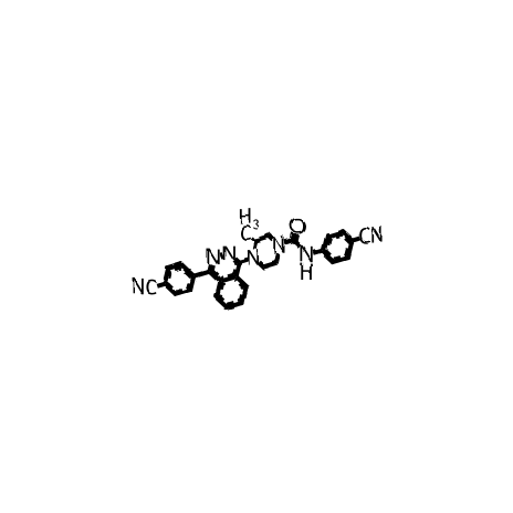 C[C@H]1CN(C(=O)Nc2ccc(C#N)cc2)CCN1c1nnc(-c2ccc(C#N)cc2)c2ccccc12